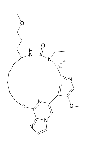 CCN1C(=O)NC(CCCOC)CCCCCOc2nc(cn3ccnc23)-c2cc(ncc2OC)[C@H]1C